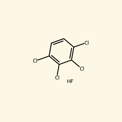 Clc1ccc(Cl)c(Cl)c1Cl.F